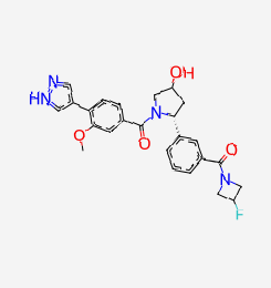 COc1cc(C(=O)N2CC(O)C[C@@H]2c2cccc(C(=O)N3CC(F)C3)c2)ccc1-c1cn[nH]c1